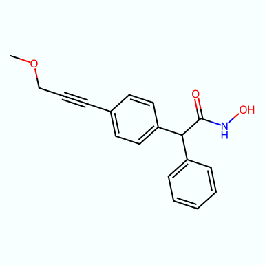 COCC#Cc1ccc(C(C(=O)NO)c2ccccc2)cc1